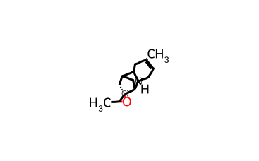 CC1=CC[C@H]2C(C1)C1CC2[C@@]2(C1)OC2C